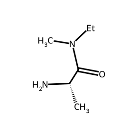 CCN(C)C(=O)[C@H](C)N